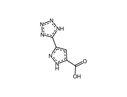 O=C(O)c1cc(-c2nnn[nH]2)n[nH]1